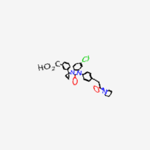 O=C(O)c1cccc(C2(n3c(=O)n(-c4ccc(CC(=O)N5CCCC5)cc4)c4cc(Cl)ccc43)CC2)c1